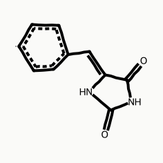 O=C1NC(=O)C(=Cc2cc[c]cc2)N1